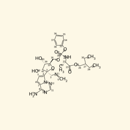 C=NC[C@@]1(c2ccc3c(N)ncnn23)O[C@H](CO[P@@](=O)(N[C@@H](C)C(=O)OCC(CC)CC)Oc2ccccc2)[C@@H](O)[C@H]1O